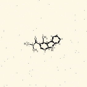 Cc1c(C(=O)N(C)C)cnc2[nH]c3ccccc3c12